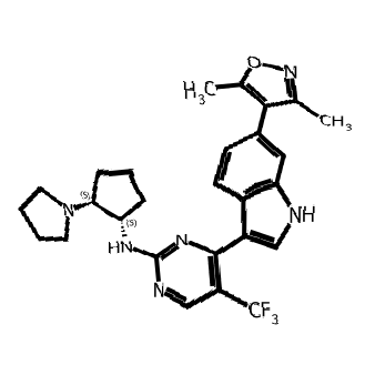 Cc1noc(C)c1-c1ccc2c(-c3nc(N[C@H]4CCC[C@@H]4N4CCCC4)ncc3C(F)(F)F)c[nH]c2c1